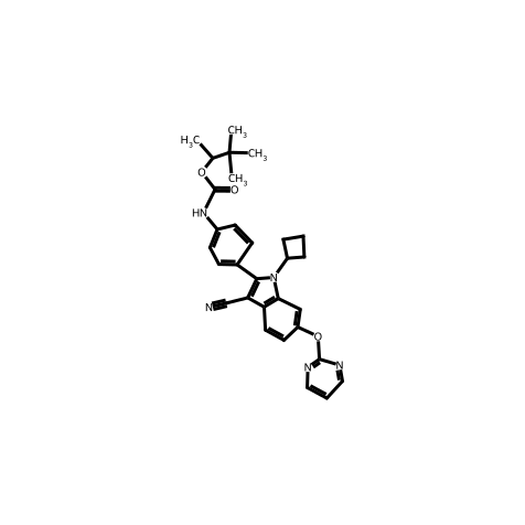 CC(OC(=O)Nc1ccc(-c2c(C#N)c3ccc(Oc4ncccn4)cc3n2C2CCC2)cc1)C(C)(C)C